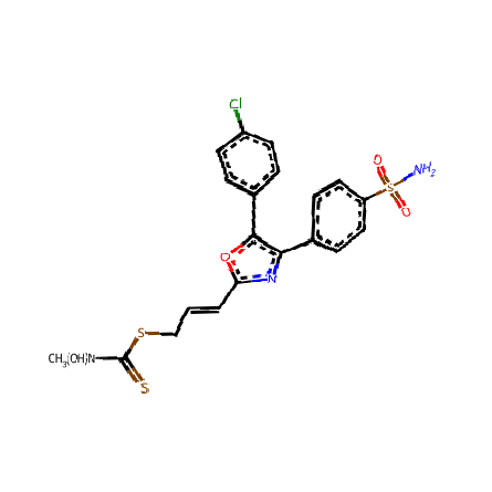 CN(O)C(=S)SCC=Cc1nc(-c2ccc(S(N)(=O)=O)cc2)c(-c2ccc(Cl)cc2)o1